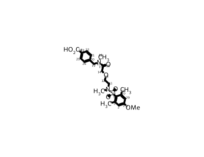 COc1cc(C)c(S(=O)(=O)N(C)CCOCC(=O)N(C)Cc2ccc(C(=O)O)cc2)c(C)c1